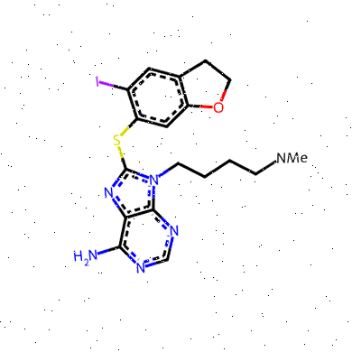 CNCCCCn1c(Sc2cc3c(cc2I)CCO3)nc2c(N)ncnc21